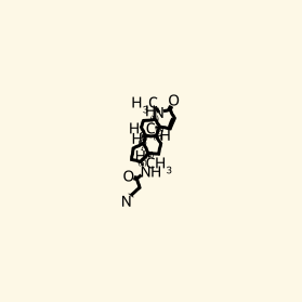 CN1C(=O)C=C[C@]2(C)[C@H]3CC[C@]4(C)[C@@H](NC(=O)CC#N)CC[C@H]4[C@@H]3CC[C@@H]12